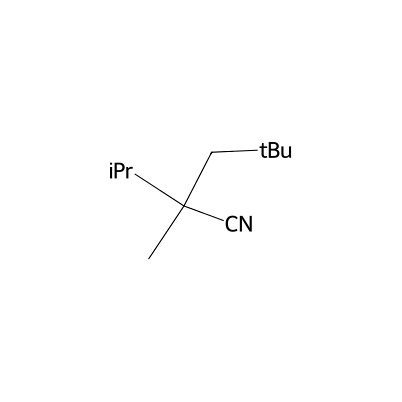 CC(C)C(C)(C#N)CC(C)(C)C